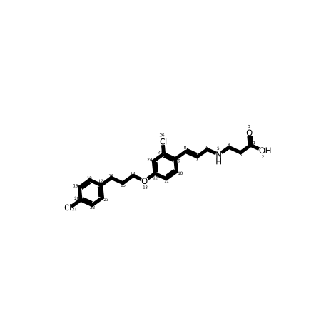 O=C(O)CCNCC=Cc1ccc(OCCCc2ccc(Cl)cc2)cc1Cl